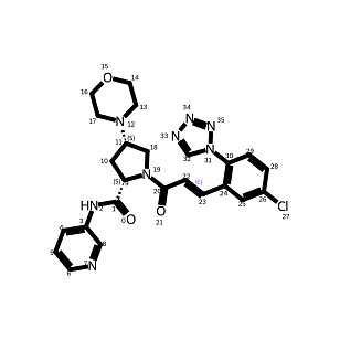 O=C(Nc1cccnc1)[C@@H]1C[C@H](N2CCOCC2)CN1C(=O)/C=C/c1cc(Cl)ccc1-n1cnnn1